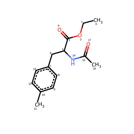 CCOC(=O)C(Cc1ccc(C)cc1)NC(C)=O